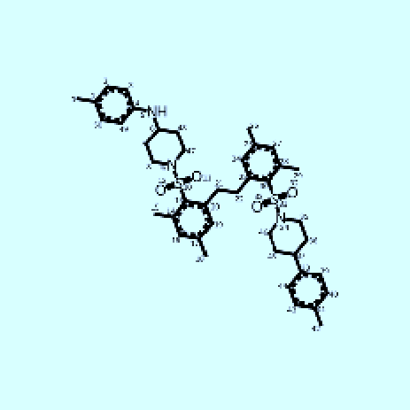 Cc1ccc(NC2CCN(S(=O)(=O)c3c(C)cc(C)cc3CCc3cc(C)cc(C)c3S(=O)(=O)N3CCC(c4ccc(C)cc4)CC3)CC2)cc1